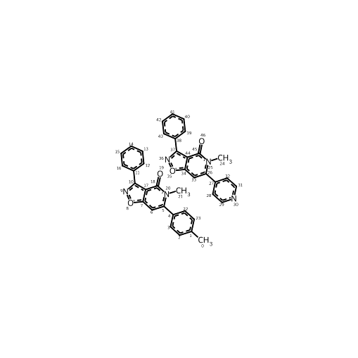 Cc1ccc(-c2cc3onc(-c4ccccc4)c3c(=O)n2C)cc1.Cn1c(-c2ccncc2)cc2onc(-c3ccccc3)c2c1=O